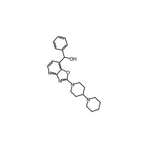 OC(c1ccccc1)c1ccnc2nc(N3CCC(N4CCCCC4)CC3)oc12